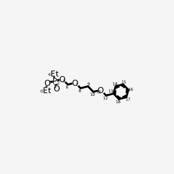 CCOP(=O)(CC)OCOCCCOCc1ccccc1